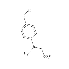 CCSc1ccc(N(C)CC(=O)O)cc1